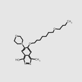 CCCCOCCCCCCCOc1cc2c(C)nnc(O)c2cc1N1CCOCC1